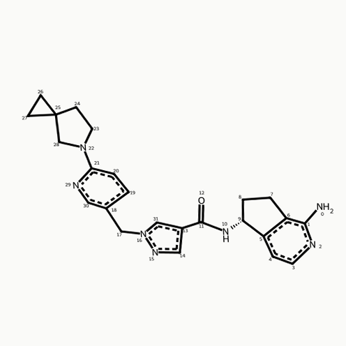 Nc1nccc2c1CC[C@H]2NC(=O)c1cnn(Cc2ccc(N3CCC4(CC4)C3)nc2)c1